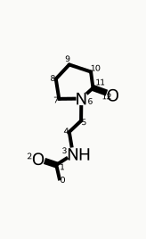 CC(=O)NCCN1CCCCC1=O